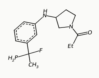 CCC(=O)N1CCC(Nc2cccc(C(C)(F)P)c2)C1